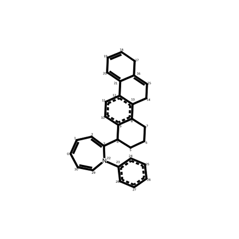 C1=CC=C(C2CCCc3c2ccc2c3CC=C3CC=CC=C32)N(c2ccccc2)C=C1